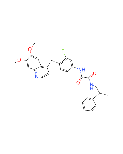 COc1cc2nccc(Cc3ccc(NC(=O)C(=O)NCC(C)c4ccccc4)cc3F)c2cc1OC